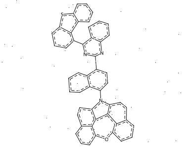 c1ccc2c(-c3cccc4sc5ccccc5c34)nc(-c3ccc(-n4c5ccc6cccc7oc8cccc9ccc4c(c98)c5c67)c4ccccc34)nc2c1